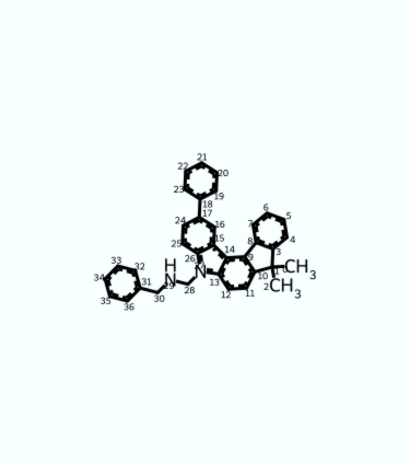 CC1(C)c2ccccc2-c2c1ccc1c2c2cc(-c3ccccc3)ccc2n1CNCc1ccccc1